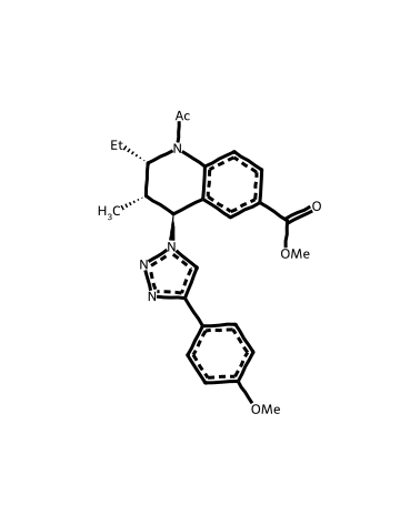 CC[C@H]1[C@@H](C)[C@H](n2cc(-c3ccc(OC)cc3)nn2)c2cc(C(=O)OC)ccc2N1C(C)=O